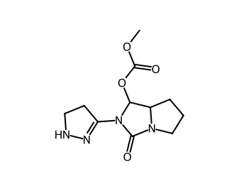 COC(=O)OC1C2CCCN2C(=O)N1C1=NNCC1